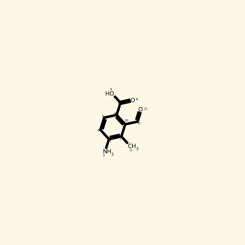 Cc1c(N)ccc(C(=O)O)c1C=O